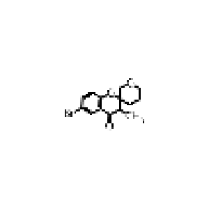 CC1C(=O)c2cc(Br)ccc2OC12CCCOC2